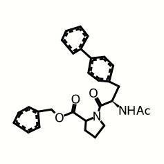 CC(=O)N[C@H](Cc1ccc(-c2ccccc2)cc1)C(=O)N1CCCC1C(=O)OCc1ccccc1